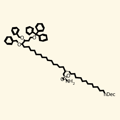 CCCCCCCCCCCCCCCCCCCCCCC[C@@H](CCCCCCCCCCCCCCC(OCc1ccccc1)C(CCOC(c1ccccc1)(c1ccccc1)c1ccccc1)OCc1ccccc1)CS(N)(=O)=O